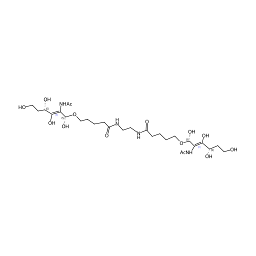 CC(=O)N/C(=C(/O)[C@@H](O)CCO)[C@@H](O)OCCCCC(=O)NCCNC(=O)CCCCO[C@H](O)/C(NC(C)=O)=C(\O)[C@@H](O)CCO